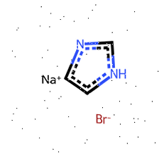 [Br-].[Na+].c1c[nH]cn1